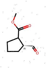 COC(=O)C1CCC[C@H]1C=O